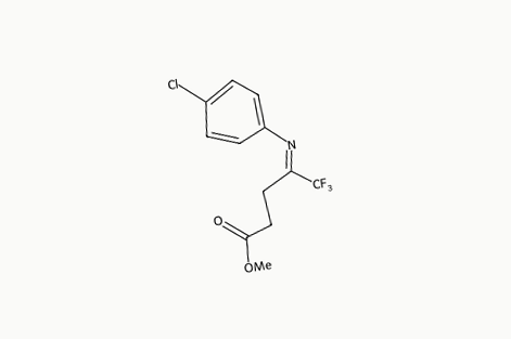 COC(=O)CCC(=Nc1ccc(Cl)cc1)C(F)(F)F